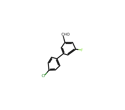 O=Cc1cc(F)cc(-c2ccc(Cl)cc2)c1